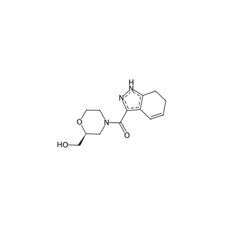 O=C(c1n[nH]c2c1C=CCC2)N1CCO[C@H](CO)C1